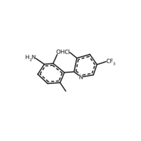 Cc1ccc(N)c(O)c1-c1ncc(C(F)(F)F)cc1Cl